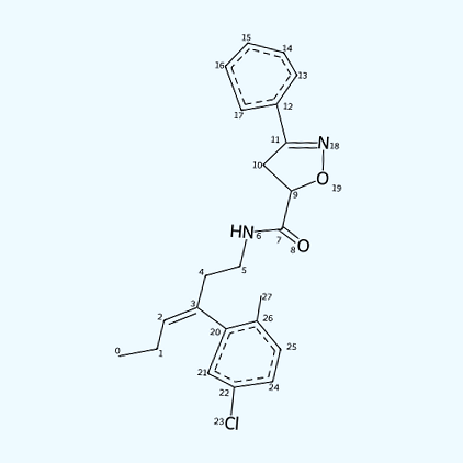 CC/C=C(/CCNC(=O)C1CC(c2ccccc2)=NO1)c1cc(Cl)ccc1C